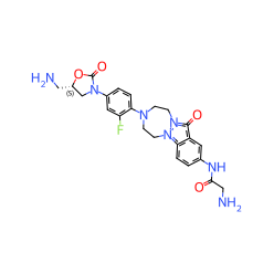 NCC(=O)Nc1ccc2c(c1)c(=O)n1n2CCN(c2ccc(N3C[C@H](CN)OC3=O)cc2F)CC1